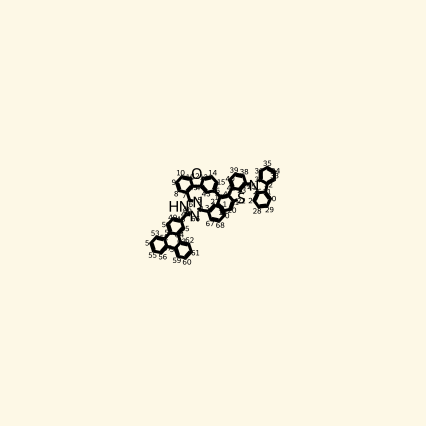 c1ccc(C2=NC(c3cccc4oc5ccc(-c6cccc7sc8c(-n9c%10ccccc%10c%10ccccc%109)cccc8c67)cc5c34)NC(c3ccc4c5ccccc5c5ccccc5c4c3)=N2)cc1